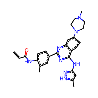 C=CC(=O)Nc1ccc(-c2nc(Nc3cc(C)[nH]n3)c3ccc(N4CCN(C)CC4)cc3n2)cc1C